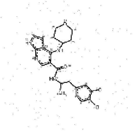 CC(Cc1ccc(Cl)c(Cl)c1)NC(=O)c1cnc2[nH]ncc2c1NC1CCOCC1